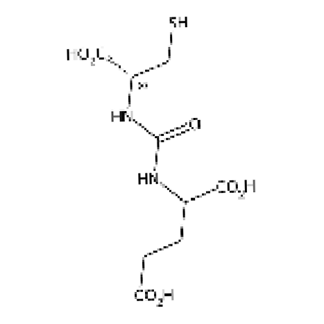 O=C(O)CCC(NC(=O)N[C@@H](CS)C(=O)O)C(=O)O